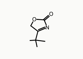 CC(C)(C)C1=NC(=O)OC1